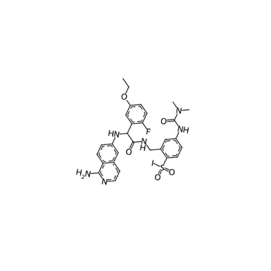 CCOc1ccc(F)c(C(Nc2ccc3c(N)nccc3c2)C(=O)NCc2cc(NC(=O)N(C)C)ccc2S(=O)(=O)I)c1